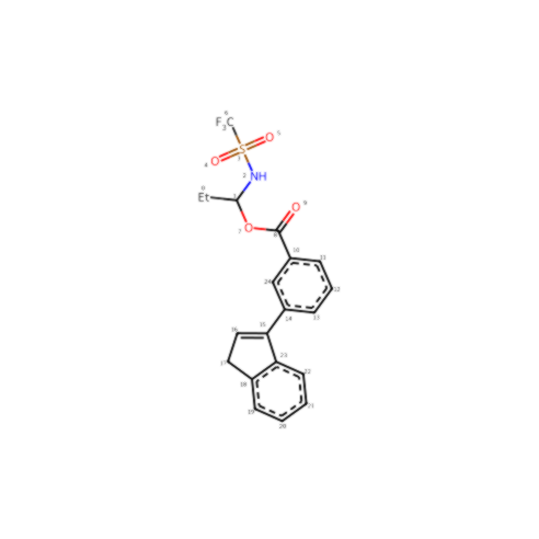 CCC(NS(=O)(=O)C(F)(F)F)OC(=O)c1cccc(C2=CCc3ccccc32)c1